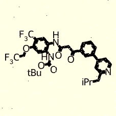 CC(C)Cc1cc(-c2cccc(C(=O)CC(=O)Nc3cc(C(F)(F)F)c(OCC(F)(F)F)cc3NC(=O)OC(C)(C)C)c2)ccn1